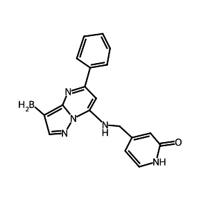 Bc1cnn2c(NCc3cc[nH]c(=O)c3)cc(-c3ccccc3)nc12